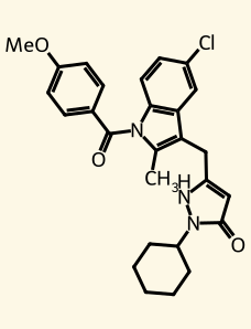 COc1ccc(C(=O)n2c(C)c(Cc3cc(=O)n(C4CCCCC4)[nH]3)c3cc(Cl)ccc32)cc1